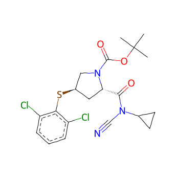 CC(C)(C)OC(=O)N1C[C@H](Sc2c(Cl)cccc2Cl)C[C@H]1C(=O)N(C#N)C1CC1